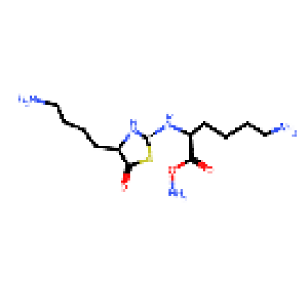 NCCCCC(N[C@@H]1NC(CCCCN)C(=O)S1)C(=O)ON